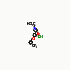 Cl.O=C(O)CCN1CCC2(CC1)COc1cc(OCc3cccc(C(F)(F)F)c3)ccc12